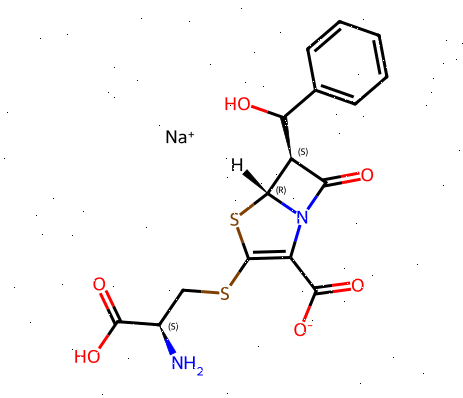 N[C@H](CSC1=C(C(=O)[O-])N2C(=O)[C@H](C(O)c3ccccc3)[C@H]2S1)C(=O)O.[Na+]